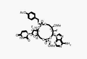 COOP1(=O)OC[C@H]2O[C@@H](n3ccc(=O)[nH]c3=O)[C@H](F)[C@@H]2OP(=O)(SCc2ccc(OC(C)=O)cc2)OC[C@@H](OC)[C@@H](F)[C@@H](n2cnc3c(N)ncnc32)O1